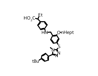 CCCCCCCOc1cc(Sc2nnc(-c3ccc(C(C)(C)C)cc3)n2C)ccc1CNc1ccc(C(CC)C(=O)O)cc1